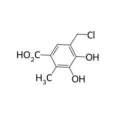 Cc1c(C(=O)O)cc(CCl)c(O)c1O